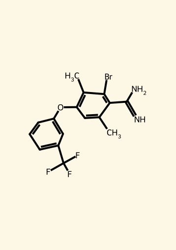 Cc1cc(Oc2cccc(C(F)(F)F)c2)c(C)c(Br)c1C(=N)N